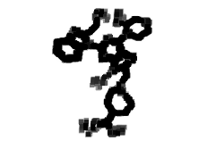 C=C(O)C1CCN(Cc2nc3c(N4CCOC[C@@H]4C)nc(-n4c(CC)nc5ccccc54)nc3n2C)CC1